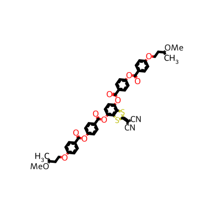 COC(C)CCOc1ccc(C(=O)Oc2ccc(C(=O)Oc3ccc(OC(=O)c4ccc(OC(=O)c5ccc(OCCC(C)OC)cc5)cc4)c4c3SC(=C(C#N)C#N)S4)cc2)cc1